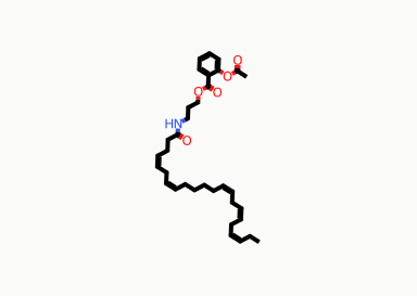 CC/C=C\C/C=C\C/C=C\CCCC/C=C\C/C=C\CCC(=O)NCCCOC(=O)c1ccccc1OC(C)=O